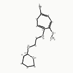 COC1=CC=C(Br)CC=C1OCCOC1CCCCO1